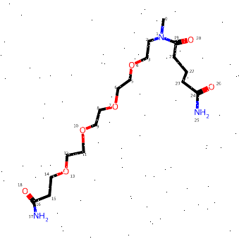 CN(CCOCCOCCOCCOCCC(N)=O)C(=O)CCCC(N)=O